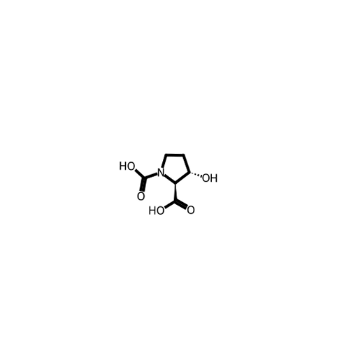 O=C(O)[C@@H]1[C@@H](O)CCN1C(=O)O